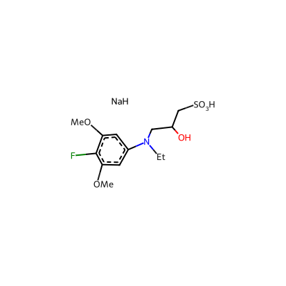 CCN(CC(O)CS(=O)(=O)O)c1cc(OC)c(F)c(OC)c1.[NaH]